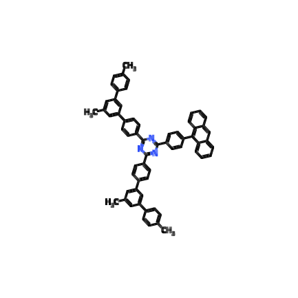 Cc1ccc(-c2cc(C)cc(-c3ccc(-c4nc(-c5ccc(-c6cc(C)cc(-c7ccc(C)cc7)c6)cc5)nc(-c5ccc(-c6c7ccccc7cc7ccccc67)cc5)n4)cc3)c2)cc1